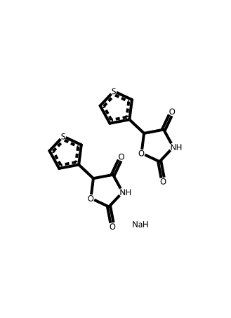 O=C1NC(=O)C(c2ccsc2)O1.O=C1NC(=O)C(c2ccsc2)O1.[NaH]